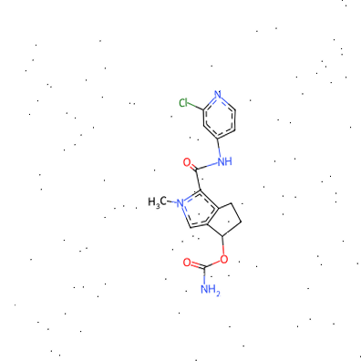 Cn1cc2c(c1C(=O)Nc1ccnc(Cl)c1)CCC2OC(N)=O